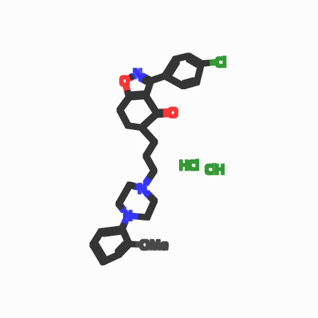 COc1ccccc1N1CCN(CCCC2CCc3onc(-c4ccc(Cl)cc4)c3C2=O)CC1.Cl.Cl